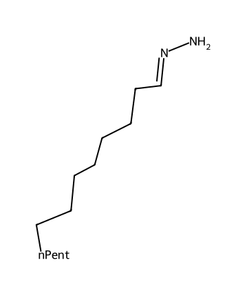 CCCCCCCCCCCCC=NN